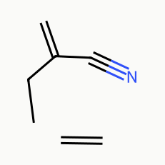 C=C.C=C(C#N)CC